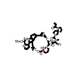 C=CC(=O)N1CCC[C@]12CCN(C(=O)N(C)C(C(=O)N[C@H]1Cc3nc(cs3)-c3ccc4c(c3)c(c(-c3cccnc3[C@H](C)OC)n4CC)CC(C)(C)COC(=O)[C@@H]3CCCN(N3)C1=O)C(C)C)C2